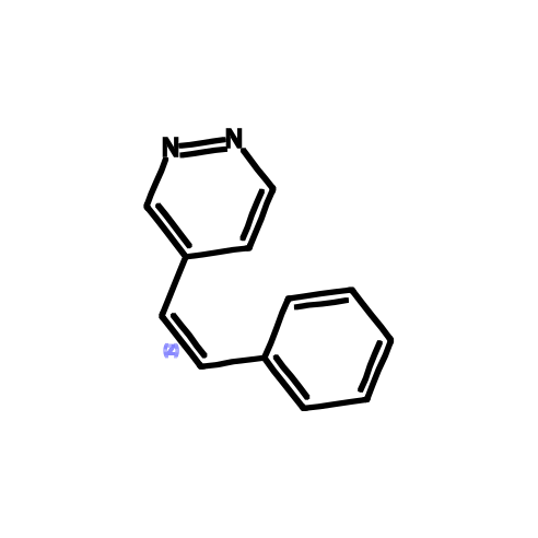 C(=C/c1ccnnc1)/c1ccccc1